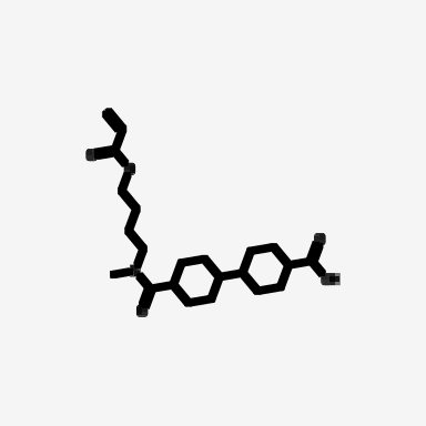 C=CC(=O)OCCCCN(C)C(=O)C1CCC(C2CCC(C(=O)O)CC2)CC1